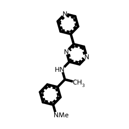 CNc1cccc(C(C)Nc2cncc(-c3ccncc3)n2)c1